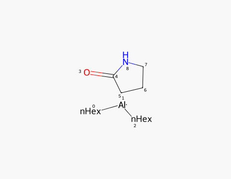 CCCCC[CH2][Al][CH2]CCCCC.O=C1CCCN1